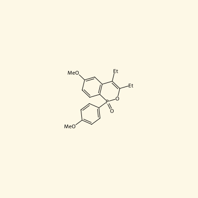 CCC1=C(CC)c2cc(OC)ccc2P(=O)(c2ccc(OC)cc2)O1